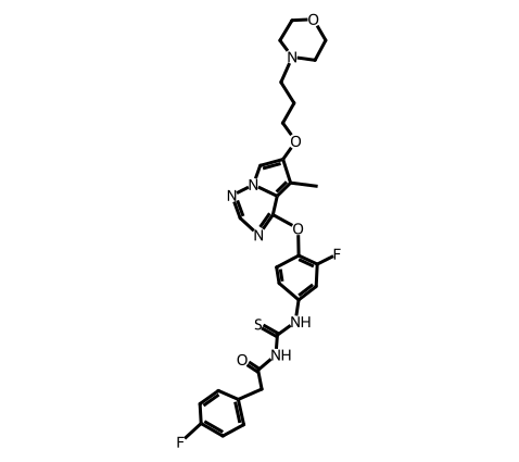 Cc1c(OCCCN2CCOCC2)cn2ncnc(Oc3ccc(NC(=S)NC(=O)Cc4ccc(F)cc4)cc3F)c12